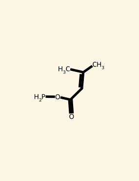 CC(C)=CC(=O)OP